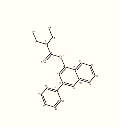 CCN(CC)C(=O)Oc1cc(-c2ccccc2)cc2ccccc12